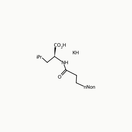 CCCCCCCCCCCC(=O)N[C@@H](CC(C)C)C(=O)O.[KH]